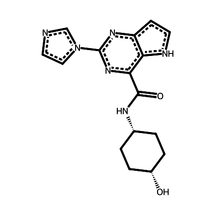 O=C(N[C@H]1CC[C@@H](O)CC1)c1nc(-n2ccnc2)nc2cc[nH]c12